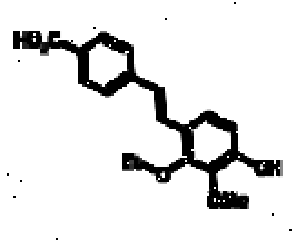 CCOc1c(C=Cc2ccc(C(=O)O)cc2)ccc(O)c1OC